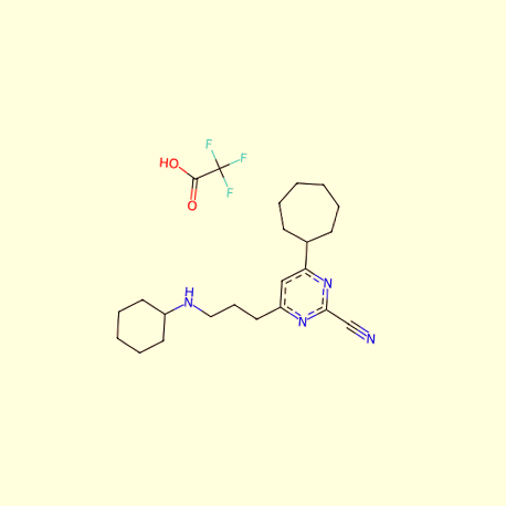 N#Cc1nc(CCCNC2CCCCC2)cc(C2CCCCCC2)n1.O=C(O)C(F)(F)F